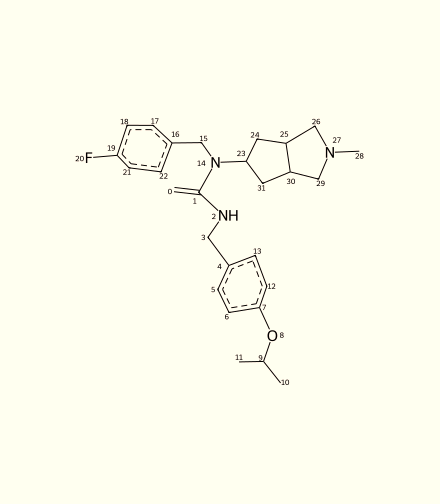 C=C(NCc1ccc(OC(C)C)cc1)N(Cc1ccc(F)cc1)C1CC2CN(C)CC2C1